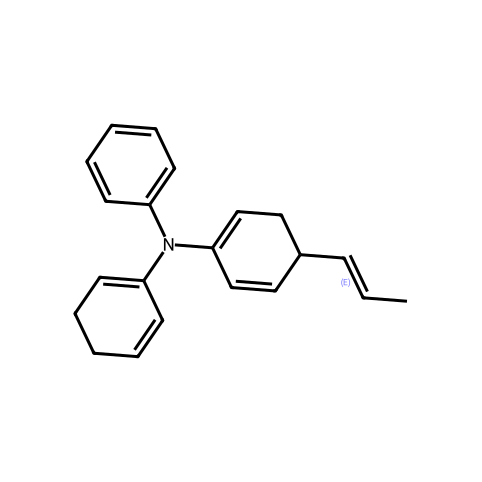 C/C=C/C1C=CC(N(C2=CCCC=C2)c2ccccc2)=CC1